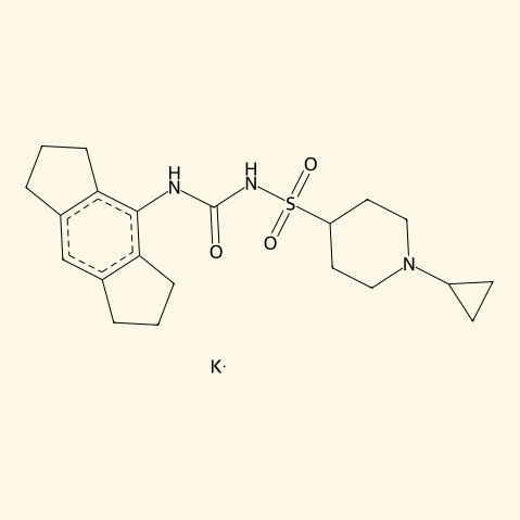 O=C(Nc1c2c(cc3c1CCC3)CCC2)NS(=O)(=O)C1CCN(C2CC2)CC1.[K]